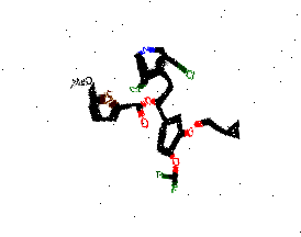 COc1ccc(C(=O)OC(Cc2c(Cl)cncc2Cl)c2ccc(OC(F)F)c(OCC3CC3)c2)s1